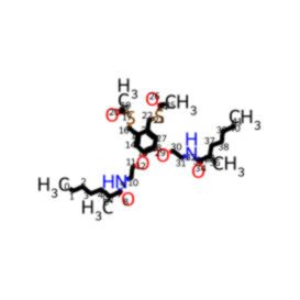 CCCCC[C@H](C)C(=O)NCCOc1cc(CSC(C)=O)c(CSC(C)=O)cc1OCCNC(=O)[C@@H](C)CCCCC